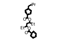 CCC(CC(CC)OC(=O)c1ccc(CC(C)C)cc1)OC(=O)c1ccccc1